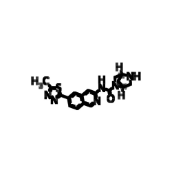 Cc1nnc(-c2ccc3cnc(NC(=O)N4C[C@H]5C[C@@H]4CN5)cc3c2)s1